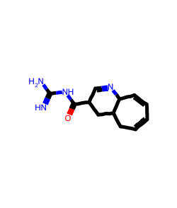 N=C(N)NC(=O)C1C=NC2C=CC=CCC2C1